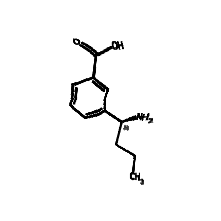 CCC[C@H](N)c1cccc(C(=O)O)c1